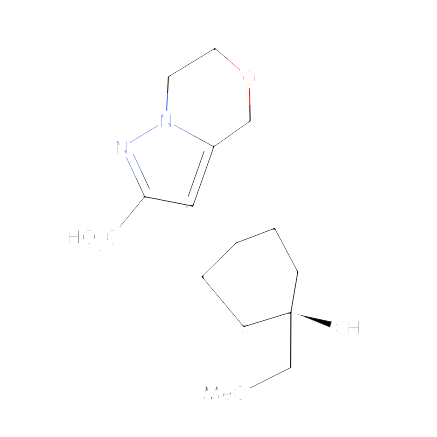 COC[C@]1(C)CC[C@H](c2c(C(=O)O)nn3c2COCC3)CC1